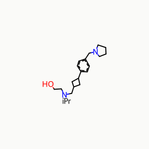 CC(C)N(CCO)CC1CC(c2ccc(CN3CCCC3)cc2)C1